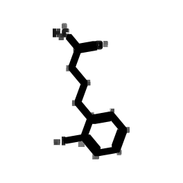 CC(=O)CCCc1ccccc1I